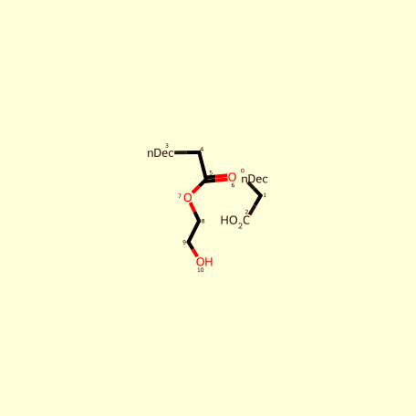 CCCCCCCCCCCC(=O)O.CCCCCCCCCCCC(=O)OCCO